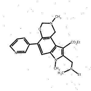 CCOC(=O)c1c(CN(C)CC)n(C)c2cc(-c3cccnc3)c3c(c12)CN(C)CO3